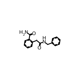 NC(=O)c1ccccc1[CH]C(=O)NCc1ccccc1